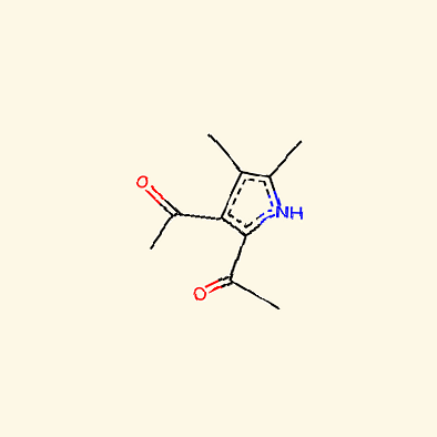 CC(=O)c1[nH]c(C)c(C)c1C(C)=O